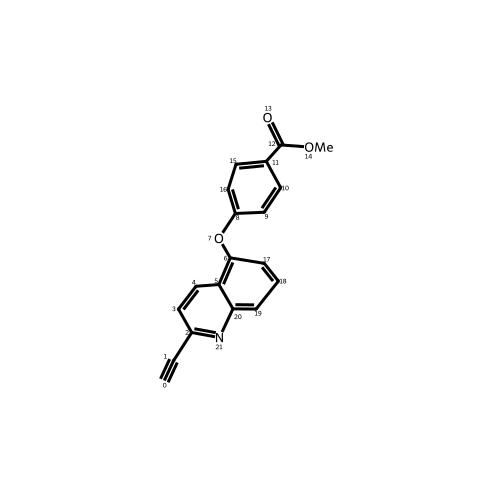 C#Cc1ccc2c(Oc3ccc(C(=O)OC)cc3)cccc2n1